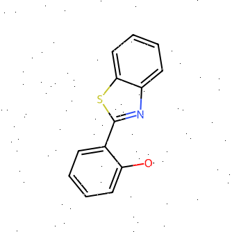 [O]c1ccccc1-c1nc2ccccc2s1